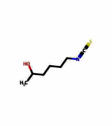 CC(O)CCCCN=C=S